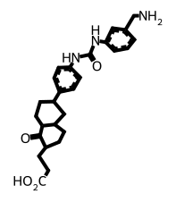 NCc1cccc(NC(=O)Nc2ccc(C3CCC4C(=O)C(CCC(=O)O)CCC4C3)cc2)c1